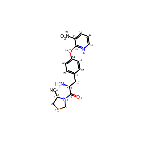 N#C[C@@H]1CSCN1C(=O)[C@@H](N)Cc1ccc(Oc2ncccc2[N+](=O)[O-])cc1